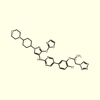 C[C@@H](Cn1cnnn1)Oc1cc(-c2cnc(Nc3cn(C4CCC(N5CCOCC5)CC4)nc3Oc3ncco3)nc2)ccc1Cl